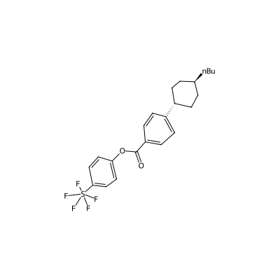 CCCC[C@H]1CC[C@H](c2ccc(C(=O)Oc3ccc(S(F)(F)(F)(F)F)cc3)cc2)CC1